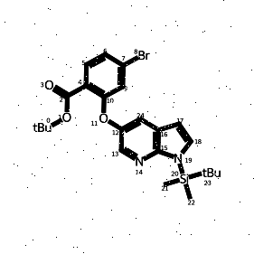 CC(C)(C)OC(=O)c1ccc(Br)cc1Oc1cnc2c(ccn2[Si](C)(C)C(C)(C)C)c1